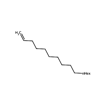 C=CCCCCCCCCCCCC[CH]C